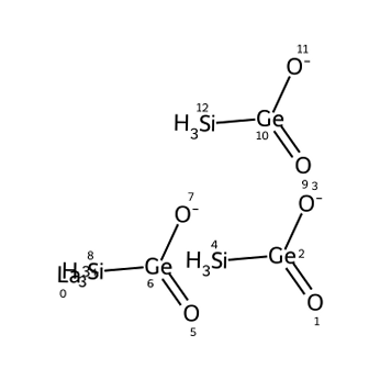 [La+3].[O]=[Ge]([O-])[SiH3].[O]=[Ge]([O-])[SiH3].[O]=[Ge]([O-])[SiH3]